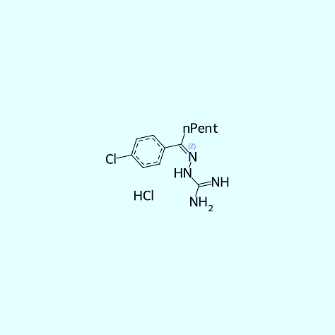 CCCCC/C(=N/NC(=N)N)c1ccc(Cl)cc1.Cl